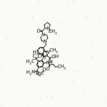 CCCC(=O)Nc1c(OC)c(C(N)=O)cc(C(C)(C)C)c1-c1c(C(=O)O)n(C)c2c(CN3CCN(C(=O)C4CCCN4C)CC3)cccc12